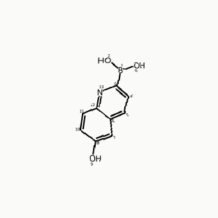 OB(O)c1ccc2cc(O)ccc2n1